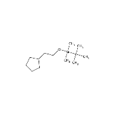 CC(C)(C)[Si](C)(C)OCCC1C[CH]CC1